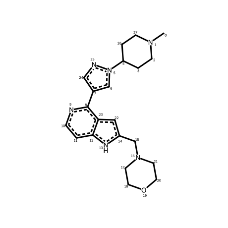 CN1CCC(n2cc(-c3nccc4[nH]c(CN5CCOCC5)cc34)cn2)CC1